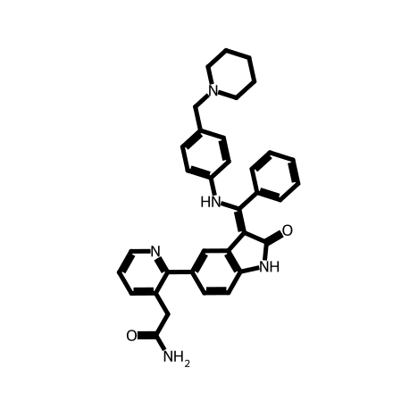 NC(=O)Cc1cccnc1-c1ccc2c(c1)C(=C(Nc1ccc(CN3CCCCC3)cc1)c1ccccc1)C(=O)N2